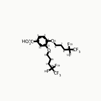 O=C(O)c1ccc(OCCCC(F)(F)C(F)(F)F)c(OCCCC(F)(F)C(F)(F)F)c1